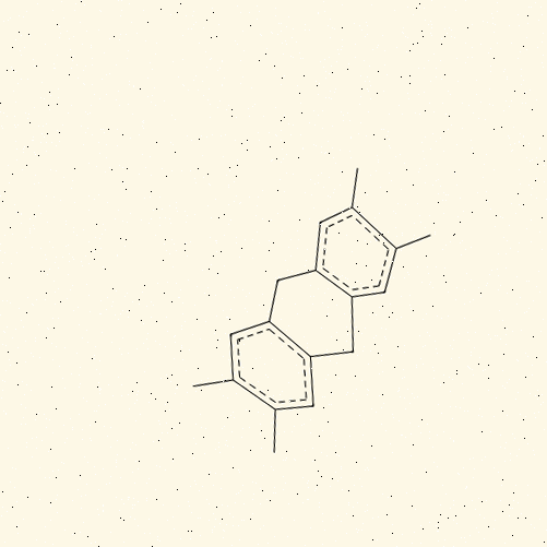 Cc1cc2c(cc1C)Cc1cc(C)c(C)cc1C2